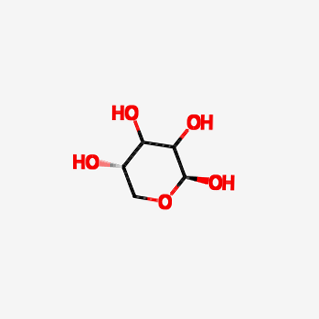 OC1C(O)[C@@H](O)OC[C@@H]1O